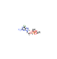 CCOP(=O)(CO[C@H](C)Cn1cnc2c(Cl)nc(N)nc21)OCC